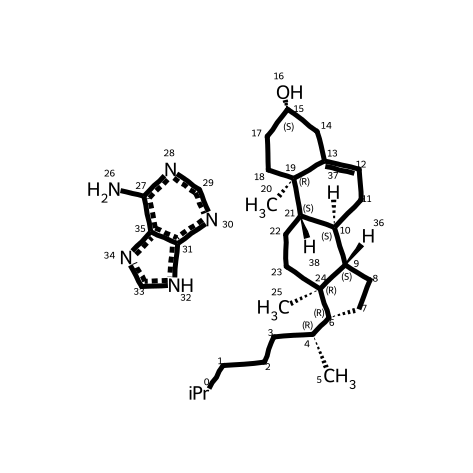 CC(C)CCC[C@@H](C)[C@H]1CC[C@H]2[C@@H]3CC=C4C[C@@H](O)CC[C@]4(C)[C@H]3CC[C@]12C.Nc1ncnc2[nH]cnc12